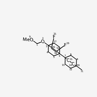 COCOC12CCC(C34CCC(C)(CC3)CC4)(CC1)C(F)=C2F